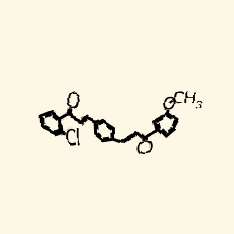 COc1cccc(C(=O)/C=C/c2ccc(/C=C/C(=O)c3ccccc3Cl)cc2)c1